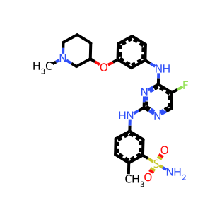 Cc1ccc(Nc2ncc(F)c(Nc3cccc(OC4CCCN(C)C4)c3)n2)cc1S(N)(=O)=O